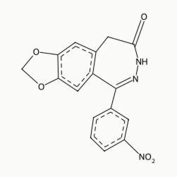 O=C1Cc2cc3c(cc2C(c2cccc([N+](=O)[O-])c2)=NN1)OCO3